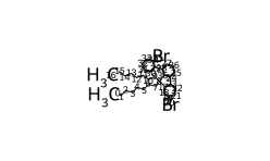 CCCCCCCCC1(CCCCCCCC)c2cc(Br)ccc2-c2cccc(-c3ccccc3Br)c21